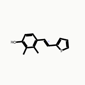 Cc1c(O)ccc(/C=C/c2cccs2)c1C